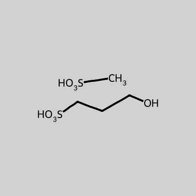 CS(=O)(=O)O.O=S(=O)(O)CCCO